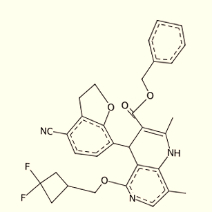 CC1=C(C(=O)OCc2ccccc2)C(c2ccc(C#N)c3c2OCC3)c2c(OCC3CC(F)(F)C3)ncc(C)c2N1